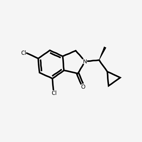 C[C@@H](C1CC1)N1Cc2cc(Cl)cc(Cl)c2C1=O